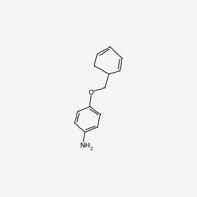 Nc1ccc(OCC2C=CC=CC2)cc1